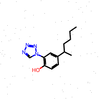 CCCCC(C)c1ccc(O)c(-n2cnnn2)c1